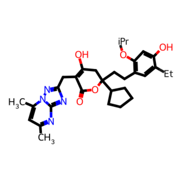 CCc1cc(CCC2(C3CCCC3)CC(O)=C(Cc3nc4nc(C)cc(C)n4n3)C(=O)O2)c(OC(C)C)cc1O